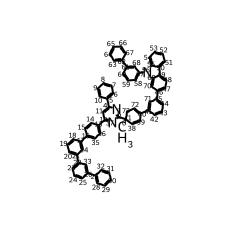 CC1(c2nc(-c3ccccc3)cc(-c3ccc(-c4cccc(-c5cccc(-c6ccccc6)c5)c4)cc3)n2)C=CC(c2cccc(-c3ccc4c5ccccc5n(-c5cccc(-c6ccccc6)c5)c4c3)c2)=CC1